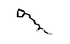 CC(=O)OCOC(=O)C/C=C/C=C/c1ccccc1